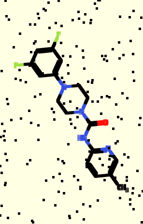 Cc1ccc(NC(=O)N2CCN(c3cc(F)cc(F)c3)CC2)nc1